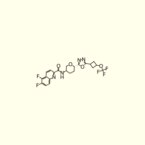 O=C(N[C@@H]1CC[C@@H](c2nnc(C3CC(OC(F)(F)F)C3)o2)OC1)c1ccc2c(F)c(F)ccc2n1